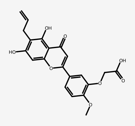 C=CCc1c(O)cc2oc(-c3ccc(OC)c(OCC(=O)O)c3)cc(=O)c2c1O